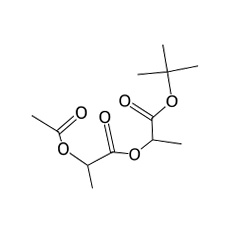 CC(=O)OC(C)C(=O)OC(C)C(=O)OC(C)(C)C